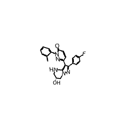 Cc1ccccc1-n1nc(-c2c(-c3ccc(F)cc3)nn3c2NC[C@@H](O)C3)ccc1=O